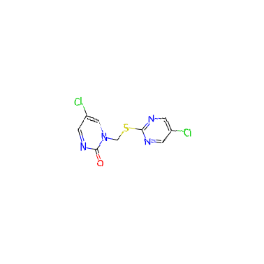 O=c1ncc(Cl)cn1CSc1ncc(Cl)cn1